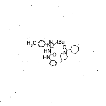 Cc1ccc(-n2nc(C(C)(C)C)cc2NC(=O)Nc2cccc(CC3CCN(C(=O)C4CCCCCC4)CC3)c2)cc1